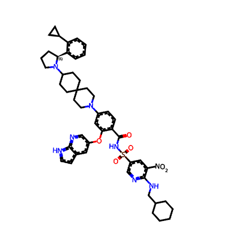 O=C(NS(=O)(=O)c1cnc(NCC2CCCCC2)c([N+](=O)[O-])c1)c1ccc(N2CCC3(CCC(N4CCC[C@H]4c4ccccc4C4CC4)CC3)CC2)cc1Oc1cnc2[nH]ccc2c1